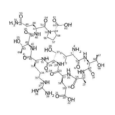 CC(C)[C@H](N)C(=O)N[C@H](C(=O)N[C@@H](C)C(=O)N[C@@H](CCC(=O)O)C(=O)N[C@@H](CO)C(=O)N[C@@H](CCCNC(=N)N)C(=O)N[C@H](C(=O)N[C@@H](CCC(N)=O)C(=O)N1CCC[C@H]1C(=O)O)[C@@H](C)O)[C@@H](C)O